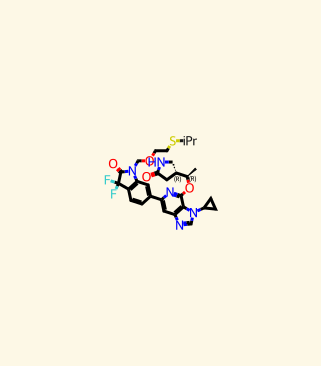 CC(C)SCCOCN1C(=O)C(F)(F)c2ccc(-c3cc4ncn(C5CC5)c4c(O[C@H](C)[C@H]4CNC(=O)C4)n3)cc21